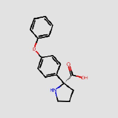 O=C(O)[C@]1(c2ccc(Oc3ccccc3)cc2)CCCN1